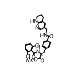 COC(=O)[C@H](Cc1ccc(C(=O)NCc2cnc3c(c2)CCCN3)cc1)NC(=O)c1c(Cl)cccc1Cl